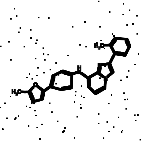 Cc1ncc(-c2ccc(Nc3cccn4cc(-c5ccccc5C)nc34)cc2)o1